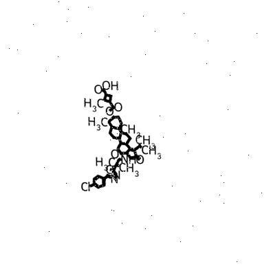 CC(C)C1=C2C3CCC4C(CCC5C(C)C(OC(=O)C6CC(C(=O)O)C6C)CCC54C)C3CCC2(NC(=O)C(C)(C)c2nnc(-c3ccc(Cl)cc3)o2)CC1=O